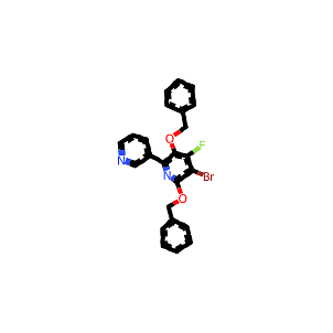 Fc1c(Br)c(OCc2ccccc2)nc(-c2cccnc2)c1OCc1ccccc1